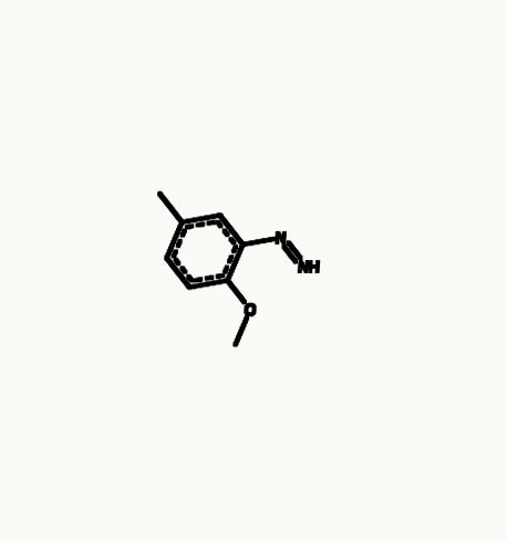 COc1ccc(C)cc1N=N